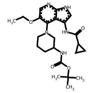 CCOc1cnc2[nH]cc(NC(=O)C3CC3)c2c1N1CCCC(NC(=O)OC(C)(C)C)C1